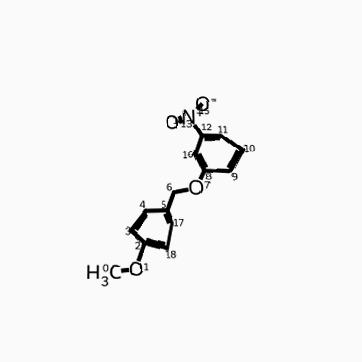 COc1ccc(COc2cccc([N+](=O)[O-])c2)cc1